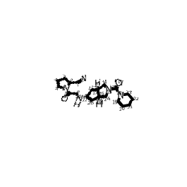 N#CC1CCCN1C(=O)CN[C@@H]1C[C@@H]2CN(C(=O)N3CCCCC3)C[C@@H]2C1